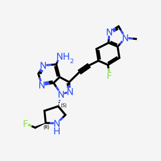 Cn1cnc2cc(C#Cc3nn([C@@H]4CN[C@@H](CF)C4)c4ncnc(N)c34)c(F)cc21